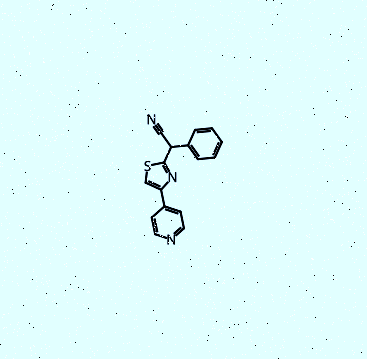 N#CC(c1ccccc1)c1nc(-c2ccncc2)cs1